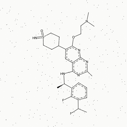 Cc1nc(N[C@H](C)c2cccc(C(C)F)c2F)c2cc(C3CCS(=N)(=O)CC3)c(OCCN(C)C)nc2n1